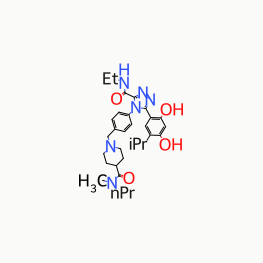 [CH2]CCN(C)C(=O)C1CCN(Cc2ccc(-n3c(C(=O)NCC)nnc3-c3cc(C(C)C)c(O)cc3O)cc2)CC1